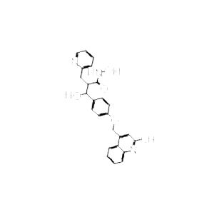 Cc1cc(COc2ccc(C(O)C(Cc3ccccn3)C(=O)NO)cc2)c2ccccc2n1